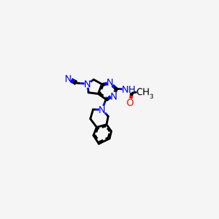 CC(=O)Nc1nc2c(c(N3CCc4ccccc4C3)n1)CN(C#N)C2